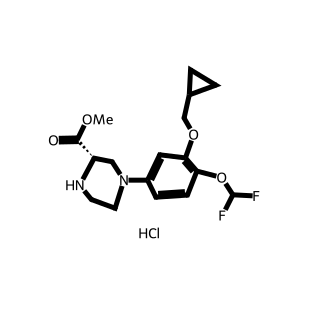 COC(=O)[C@@H]1CN(c2ccc(OC(F)F)c(OCC3CC3)c2)CCN1.Cl